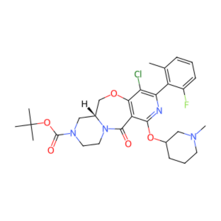 Cc1cccc(F)c1-c1nc(OC2CCCN(C)C2)c2c(c1Cl)OC[C@H]1CN(C(=O)OC(C)(C)C)CCN1C2=O